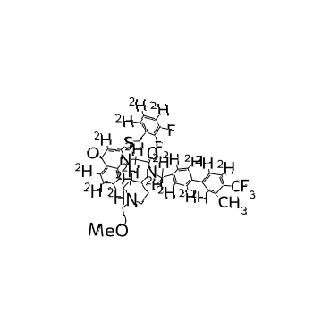 [2H]c1c([2H])c(F)c(F)c(CSc2c([2H])c(=O)c3c([2H])c([2H])c([2H])c([2H])c3n2C([2H])([2H])C(=O)N(C2CCN(CCOC)CC2)C([2H])([2H])c2c([2H])c([2H])c(-c3c([2H])c([2H])c(C(F)(F)F)c(C)c3[2H])c([2H])c2[2H])c1[2H]